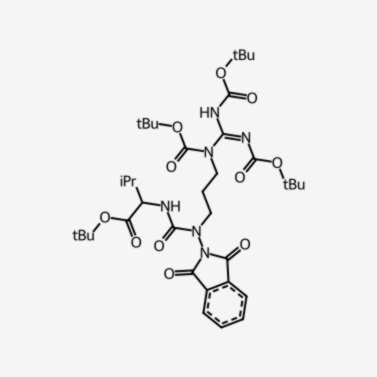 CC(C)C(NC(=O)N(CCCN(C(=O)OC(C)(C)C)/C(=N\C(=O)OC(C)(C)C)NC(=O)OC(C)(C)C)N1C(=O)c2ccccc2C1=O)C(=O)OC(C)(C)C